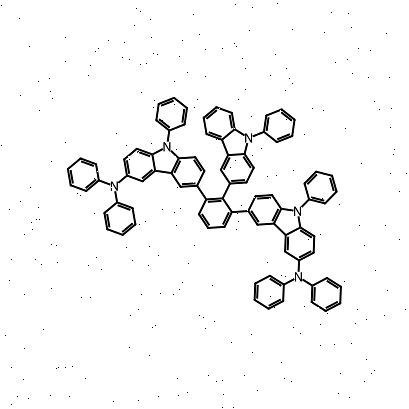 c1ccc(N(c2ccccc2)c2ccc3c(c2)c2cc(-c4cccc(-c5ccc6c(c5)c5cc(N(c7ccccc7)c7ccccc7)ccc5n6-c5ccccc5)c4-c4ccc5c(c4)c4ccccc4n5-c4ccccc4)ccc2n3-c2ccccc2)cc1